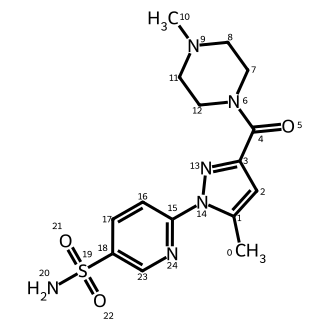 Cc1cc(C(=O)N2CCN(C)CC2)nn1-c1ccc(S(N)(=O)=O)cn1